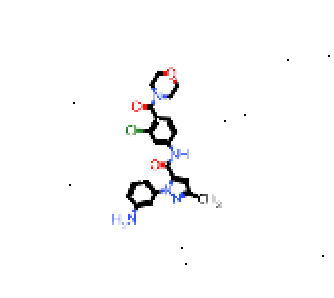 Cc1cc(C(=O)Nc2ccc(C(=O)N3CCOCC3)c(Cl)c2)n(-c2cccc(N)c2)n1